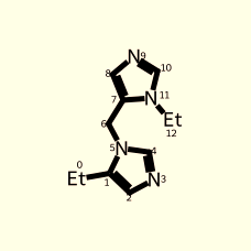 CCc1cncn1Cc1cncn1CC